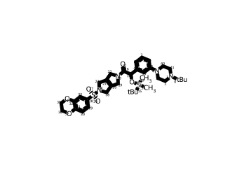 CC(C)(C)N1CCN(c2cccc(C(O[Si](C)(C)C(C)(C)C)C(=O)N3CC4=C(C3)CN(S(=O)(=O)c3ccc5c(c3)OCCO5)C4)c2)CC1